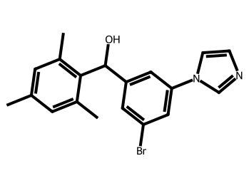 Cc1cc(C)c(C(O)c2cc(Br)cc(-n3ccnc3)c2)c(C)c1